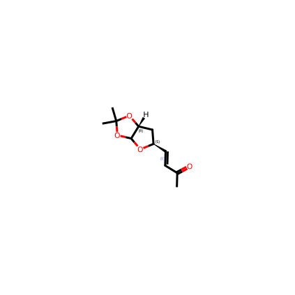 CC(=O)/C=C/[C@@H]1C[C@H]2OC(C)(C)OC2O1